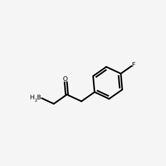 BCC(=O)Cc1ccc(F)cc1